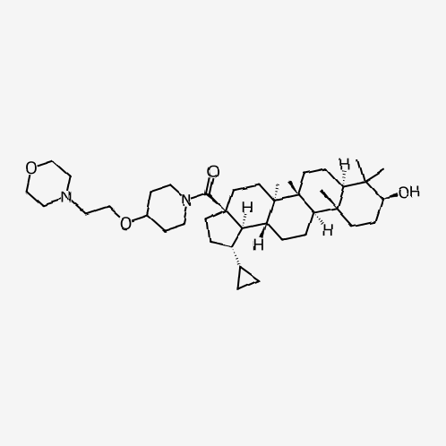 CC1(C)[C@@H](O)CC[C@]2(C)[C@H]3CC[C@@H]4[C@H]5[C@H](C6CC6)CC[C@]5(C(=O)N5CCC(OCCN6CCOCC6)CC5)CC[C@@]4(C)[C@]3(C)CC[C@@H]12